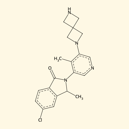 Cc1c(N2CC3(CNC3)C2)cncc1N1C(=O)c2ccc(Cl)cc2C1C